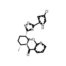 COc1ncccc1C(=O)N1C[C@@H](c2noc(-c3cc(Cl)c[nH]3)n2)CC[C@H]1C